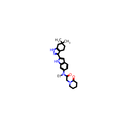 CCN(C(=O)CN1CCCCC1=O)c1ccc2cc(-c3n[nH]c4c3CCC(C)(C)C4)[nH]c2c1